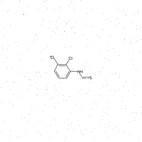 S=CNc1cccc(Cl)c1Cl